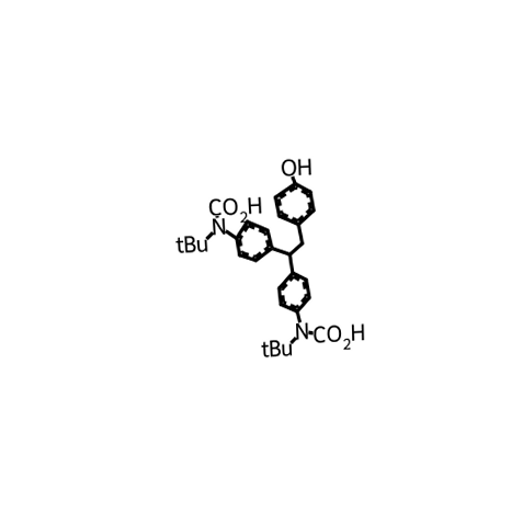 CC(C)(C)N(C(=O)O)c1ccc(C(Cc2ccc(O)cc2)c2ccc(N(C(=O)O)C(C)(C)C)cc2)cc1